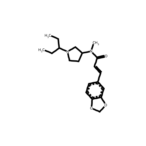 CCC(CC)N1CCC(N(C)C(=O)/C=C/c2ccc3c(c2)OCO3)C1